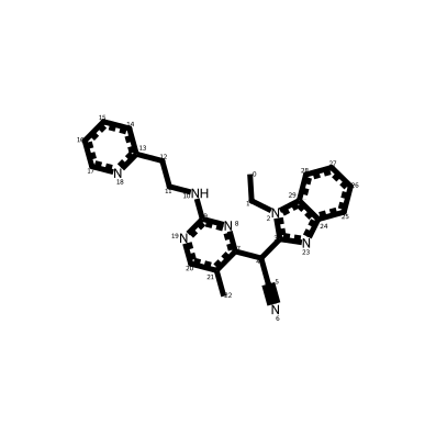 CCn1c(C(C#N)c2nc(NCCc3ccccn3)ncc2C)nc2ccccc21